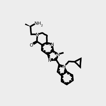 C[C@@H](N)CN1CCc2nc3c(cc2C1=O)nc(-c1cc2ccccc2n1CC1CC1)n3C